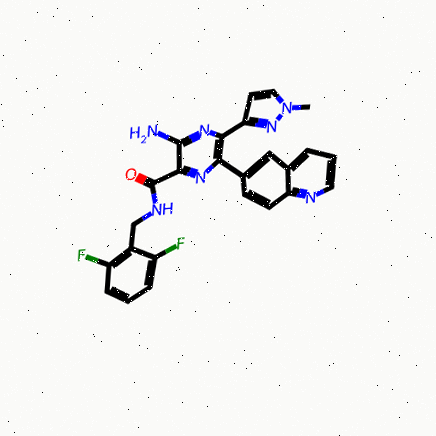 Cn1ccc(-c2nc(N)c(C(=O)NCc3c(F)cccc3F)nc2-c2ccc3ncccc3c2)n1